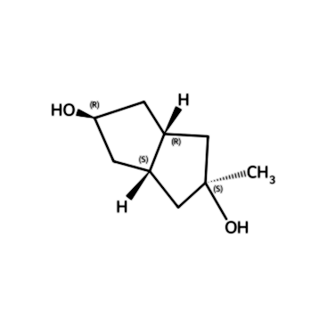 C[C@@]1(O)C[C@H]2C[C@H](O)C[C@H]2C1